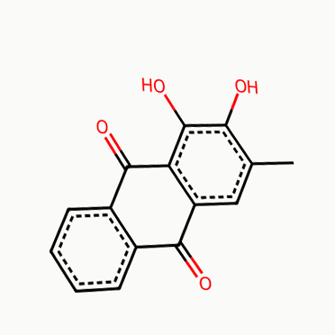 Cc1cc2c(c(O)c1O)C(=O)c1ccccc1C2=O